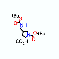 CC(C)(C)OC(=O)NCC1C[C@@H](C(=O)O)N(C(=O)OC(C)(C)C)C1